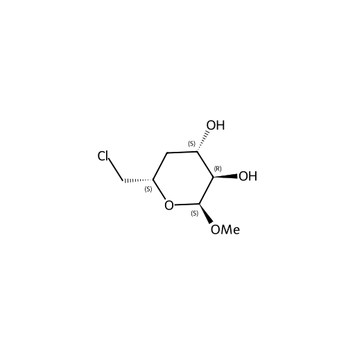 CO[C@H]1O[C@H](CCl)C[C@H](O)[C@H]1O